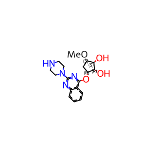 CO[C@H]1C[C@@H](Oc2nc(N3CCNCC3)nc3ccccc23)[C@H](O)[C@@H]1O